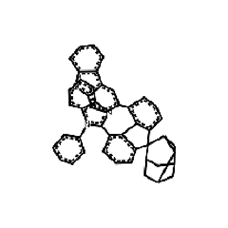 c1ccc(-n2c(-c3cccc4c3-c3c(-c5ccc6oc7ccccc7c6c5)cccc3C43C4CC5CC(C4)CC3C5)nc3ccccc32)cc1